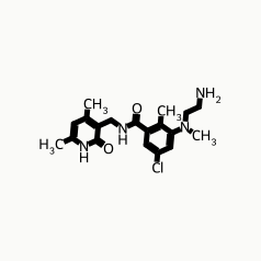 Cc1cc(C)c(CNC(=O)c2cc(Cl)cc(N(C)CCN)c2C)c(=O)[nH]1